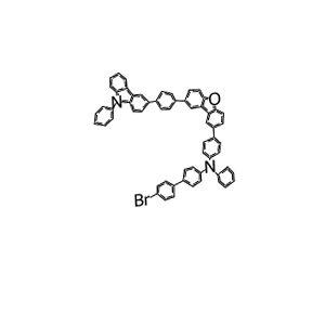 Brc1ccc(-c2ccc(N(c3ccccc3)c3ccc(-c4ccc5oc6ccc(-c7ccc(-c8ccc9c(c8)c8ccccc8n9-c8ccccc8)cc7)cc6c5c4)cc3)cc2)cc1